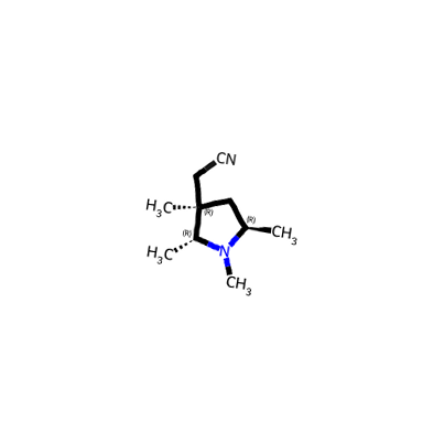 C[C@@H]1C[C@](C)(CC#N)[C@@H](C)N1C